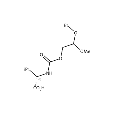 CCOC(COC(=O)N[C@H](C(=O)O)C(C)C)OC